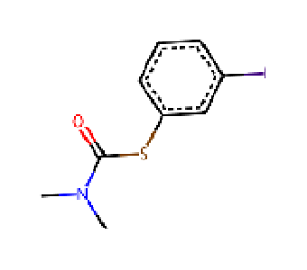 CN(C)C(=O)Sc1cccc(I)c1